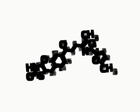 Cc1ccc(-c2nc(CCC(=O)c3ccc(CC4SC(=O)NC4=O)cc3)c(C)o2)o1